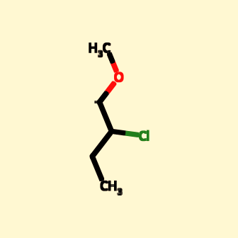 CCC(Cl)[CH]OC